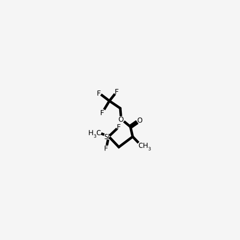 CC(C[Si](C)(F)F)C(=O)OCC(F)(F)F